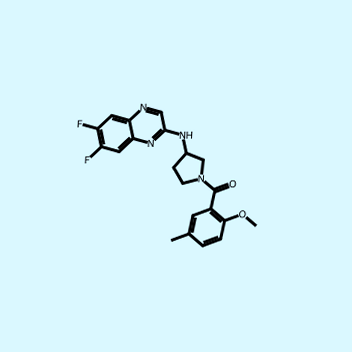 COc1ccc(C)cc1C(=O)N1CCC(Nc2cnc3cc(F)c(F)cc3n2)C1